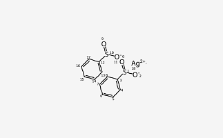 O=S([O-])c1ccccc1.O=S([O-])c1ccccc1.[Ag+2]